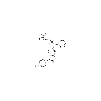 CC(C)(CNS(C)(=O)=O)[C@@H](c1ccccc1)c1ccc2c(cnn2-c2ccc(F)cc2)c1